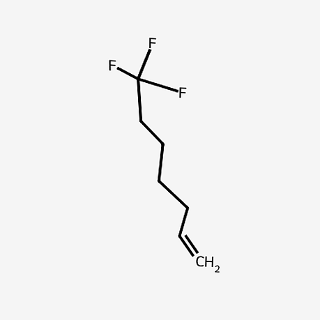 C=CCCCCC(F)(F)F